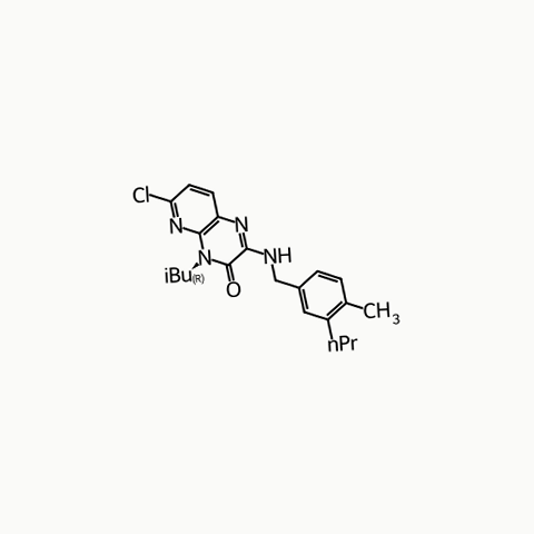 CCCc1cc(CNc2nc3ccc(Cl)nc3n([C@H](C)CC)c2=O)ccc1C